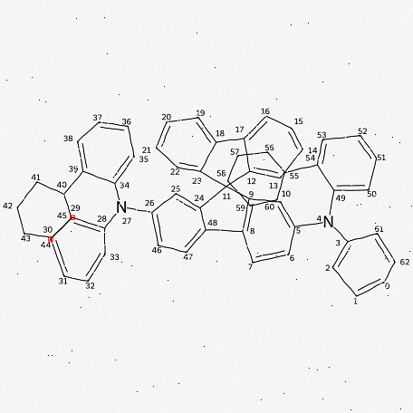 c1ccc(N(c2ccc3c(c2)C2(c4ccccc4-c4ccccc42)c2cc(N(c4ccccc4)c4ccccc4C4CCCCC4)ccc2-3)c2ccccc2C2CCCCC2)cc1